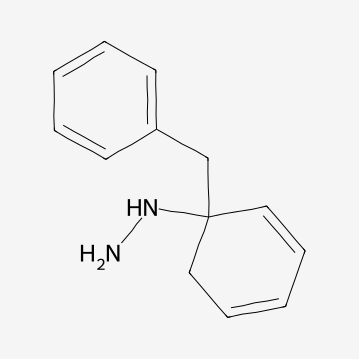 NNC1(Cc2ccccc2)C=CC=CC1